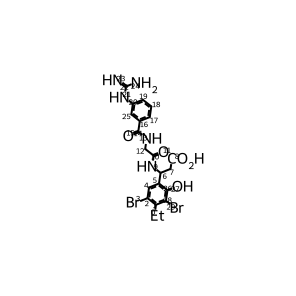 CCc1c(Br)cc(C(CC(=O)O)NC(=O)CNC(=O)c2cccc(NC(=N)N)c2)c(O)c1Br